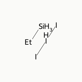 CC[SiH3].I[IH]I